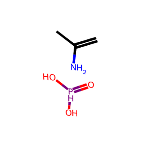 C=C(C)N.O=[PH](O)O